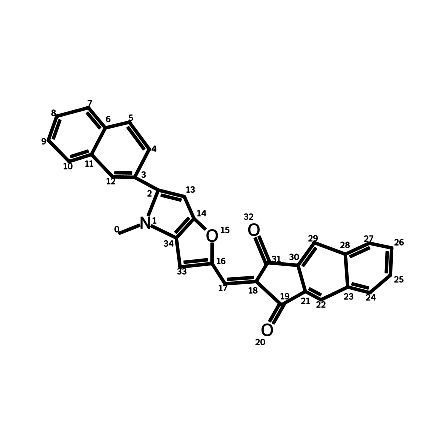 Cn1c(-c2ccc3ccccc3c2)cc2oc(C=C3C(=O)c4cc5ccccc5cc4C3=O)cc21